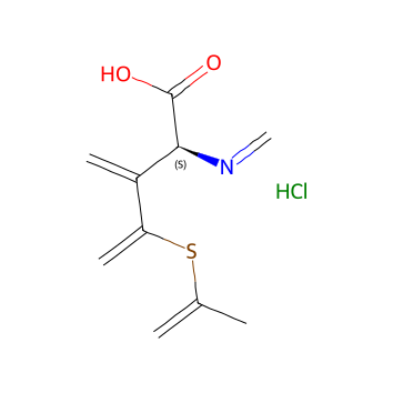 C=N[C@@H](C(=C)C(=C)SC(=C)C)C(=O)O.Cl